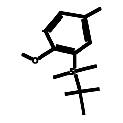 COc1[c]cc(C)cc1[Si](C)(C)C(C)(C)C